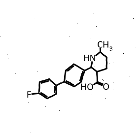 CC1CCC(C(=O)O)C(c2ccc(-c3ccc(F)cc3)cc2)N1